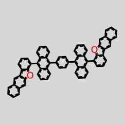 c1ccc2cc3c(cc2c1)oc1c(-c2c4ccccc4c(-c4ccc(-c5c6ccccc6c(-c6cccc7c6oc6cc8ccccc8cc67)c6ccccc56)cc4)c4ccccc24)cccc13